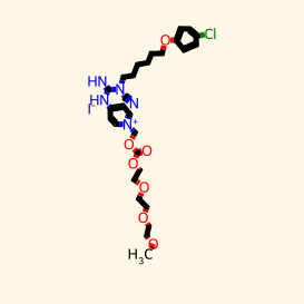 COCCOCCOCCOC(=O)OC[n+]1ccc(NC(=N)N(C#N)CCCCCCOc2ccc(Cl)cc2)cc1.[I-]